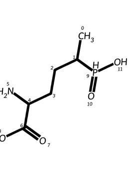 CC(CCC(N)C(=O)O)[PH](=O)O